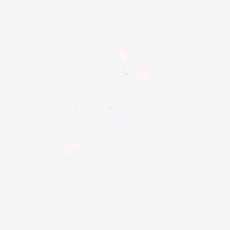 CCn1c([N+](=O)[O-])cnc1C=O